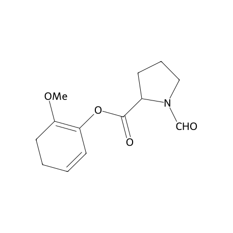 COC1=C(OC(=O)C2CCCN2C=O)C=CCC1